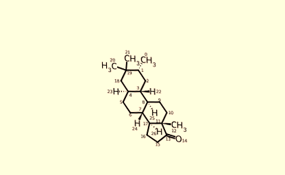 C[C@@H]1C[C@H]2[C@@H](CC[C@@H]3[C@@H]2CC[C@]2(C)C(=O)CC[C@@H]32)CC1(C)C